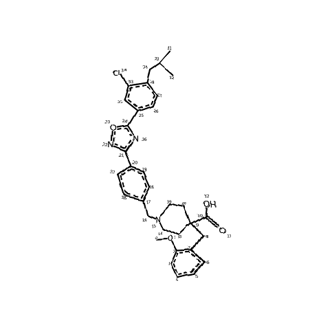 COc1ccccc1CC1(C(=O)O)CCN(Cc2ccc(-c3noc(-c4ccc(CC(C)C)c(Cl)c4)n3)cc2)CC1